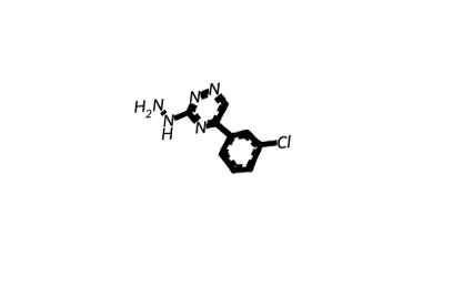 NNc1nncc(-c2cccc(Cl)c2)n1